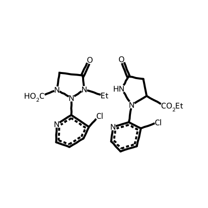 CCN1C(=O)CN(C(=O)O)N1c1ncccc1Cl.CCOC(=O)C1CC(=O)NN1c1ncccc1Cl